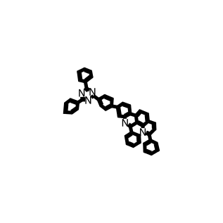 c1ccc(-c2ccc3ccc4c5ccc(-c6ccc(-c7nc(-c8ccccc8)nc(-c8ccccc8)n7)cc6)cc5nc(-c5ccccc5)c4c3n2)cc1